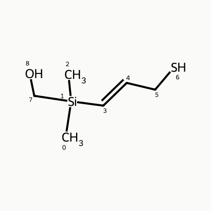 C[Si](C)(C=CCS)CO